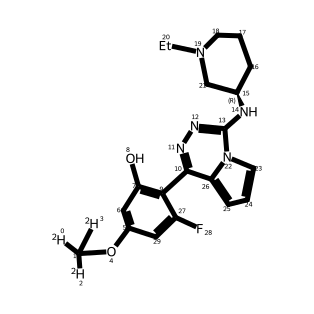 [2H]C([2H])([2H])Oc1cc(O)c(-c2nnc(N[C@@H]3CCCN(CC)C3)n3cccc23)c(F)c1